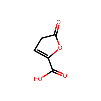 O=C1CC=C(C(=O)O)O1